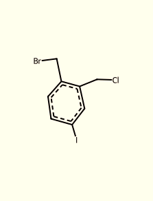 ClCc1cc(I)ccc1CBr